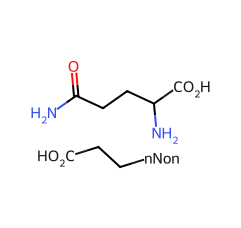 CCCCCCCCCCCC(=O)O.NC(=O)CCC(N)C(=O)O